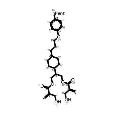 C=C(CO)C(=O)OCC(COC(=O)C(=C)CO)C1CCC(CCCOc2ccc(CCCCC)cc2)CC1